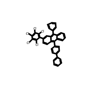 Clc1c(Cl)c(Cl)c(-c2ccc3c(-c4ccc(-c5ccccc5)cc4)c4ccccc4c(-c4ccccc4)c3c2)c(Cl)c1Cl